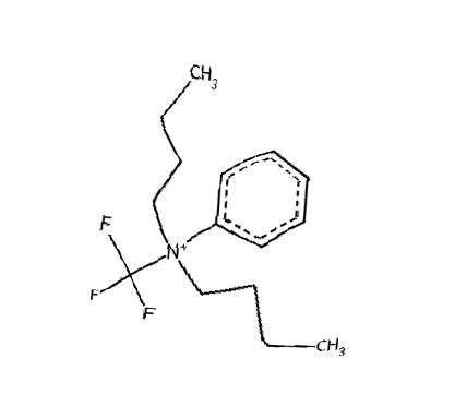 CCCC[N+](CCCC)(c1ccccc1)C(F)(F)F